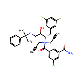 C#CC[N+](CC#C)(C(=O)c1cc(Cl)cc(C(N)=O)c1)[C@@H](Cc1cc(F)cc(F)c1)[C@H](O)CNC(C)(C)c1ccccc1